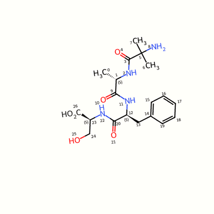 C[C@H](NC(=O)C(C)(C)N)C(=O)N[C@@H](Cc1ccccc1)C(=O)N[C@@H](CO)C(=O)O